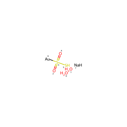 O.O.O=[S](=O)(S)[Au].[NaH]